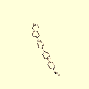 NCc1ccc(-[n+]2ccc(-c3cc[n+](-c4ccc(N)cc4)cc3)cc2)cc1